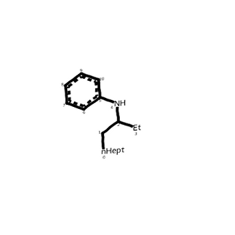 CCCCCCCCC(CC)Nc1ccccc1